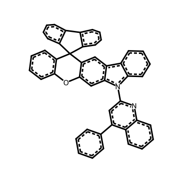 c1ccc(-c2cc(-n3c4ccccc4c4cc5c(cc43)Oc3ccccc3C53c4ccccc4-c4ccccc43)nc3ccccc23)cc1